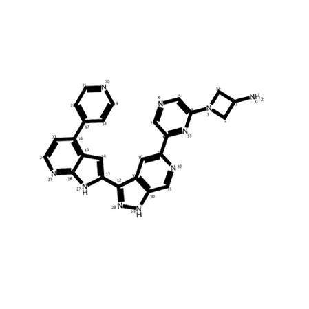 NC1CN(c2cncc(-c3cc4c(-c5cc6c(-c7ccncc7)ccnc6[nH]5)n[nH]c4cn3)n2)C1